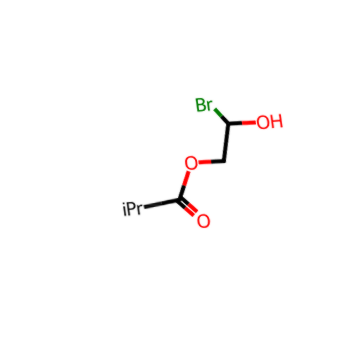 CC(C)C(=O)OCC(O)Br